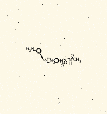 CC(=O)NC[C@H]1CN(c2ccc(N3CCN(CC#Cc4cccc(CN)c4)CC3)c(F)c2)C(=O)O1